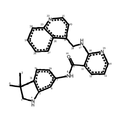 CC1(C)CNc2cc(NC(=O)c3cccnc3NCc3ccnc4ccccc34)ccc21